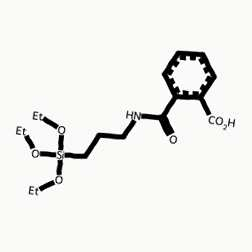 CCO[Si](CCCNC(=O)c1ccccc1C(=O)O)(OCC)OCC